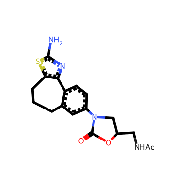 CC(=O)NCC1CN(c2ccc3c(c2)CCCc2sc(N)nc2-3)C(=O)O1